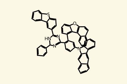 c1ccc(C2N=C(c3ccc(-n4c5ccccc5c5cc6ccccc6cc54)cc3-c3cccc4oc5ccc6ccccc6c5c34)N=C(c3ccc4sc5ccccc5c4c3)N2)cc1